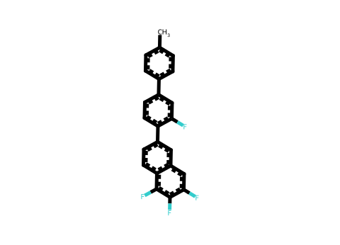 Cc1ccc(-c2ccc(-c3ccc4c(F)c(F)c(F)cc4c3)c(F)c2)cc1